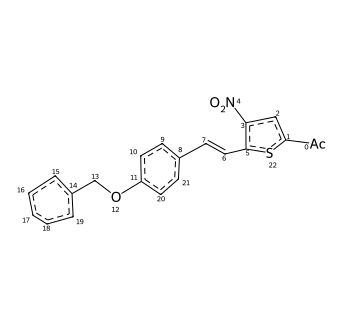 CC(=O)c1cc([N+](=O)[O-])c(/C=C/c2ccc(OCc3ccccc3)cc2)s1